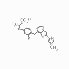 Cn1cnc(-c2cc3nccc(Cc4ccc(NC(CC(=O)O)C(F)(F)F)cc4F)c3s2)c1